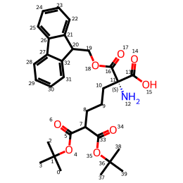 CC(C)(C)OC(=O)C(CCC[C@](N)(C(=O)O)C(=O)OCC1c2ccccc2-c2ccccc21)C(=O)OC(C)(C)C